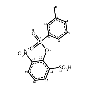 Cc1cccc(S(=O)(=O)Oc2c([N+](=O)[O-])cccc2S(=O)(=O)O)c1